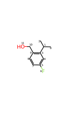 CC(C)c1cc(F)ccc1CO